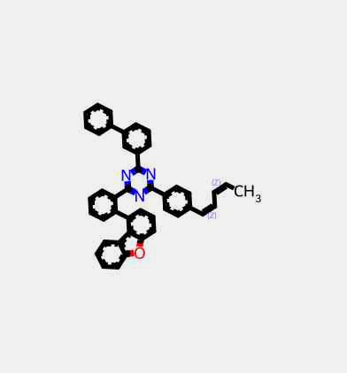 C/C=C\C=C/c1ccc(-c2nc(-c3cccc(-c4ccccc4)c3)nc(-c3ccccc3-c3cccc4oc5ccccc5c34)n2)cc1